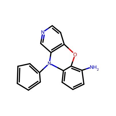 Nc1cccc2c1Oc1ccncc1N2c1ccccc1